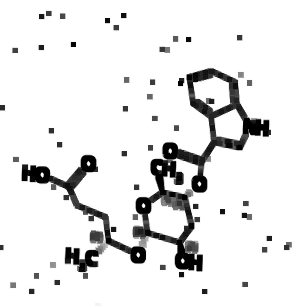 C[C@H](CCC(=O)O)O[C@@H]1O[C@@H](C)[C@H](OC(=O)c2c[nH]c3ccccc23)C[C@H]1O